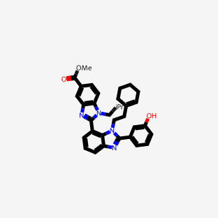 COC(=O)c1ccc2c(c1)nc(-c1cccc3nc(-c4cccc(O)c4)n(CCC4=CCCCC4)c13)n2CC(C)C